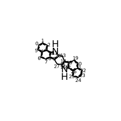 c1ccc2c(c1)ccc1c3c([nH]c12)Cc1c([nH]c2c1ccc1ccccc12)C3